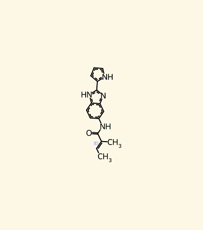 C/C=C(\C)C(=O)Nc1ccc2[nH]c(-c3ccc[nH]3)nc2c1